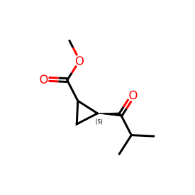 COC(=O)C1C[C@@H]1C(=O)C(C)C